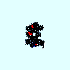 C/C=c1/cccc/c1=C/C(C)N(c1cc(-c2cncc(-c3cc(N(c4ccccc4)c4cccc5ccccc45)cc(N(c4ccccc4)c4cccc5ccccc45)c3)c2)cc(N(c2ccc3ccccc3c2)c2ccc3ccccc3c2)c1)c1ccc2ccccc2c1